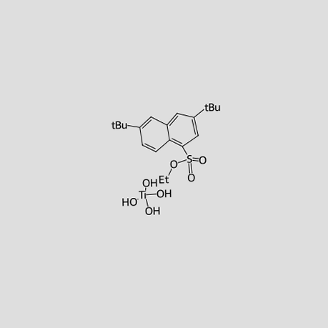 CCOS(=O)(=O)c1cc(C(C)(C)C)cc2cc(C(C)(C)C)ccc12.[OH][Ti]([OH])([OH])[OH]